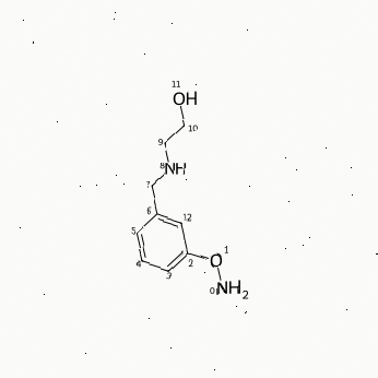 NOc1cccc(CNCCO)c1